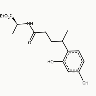 CCOC(=O)[C@H](C)NC(=O)CCC(C)c1ccc(O)cc1O